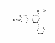 C=C/C=C\C(=C/C)c1cc(BO)cc(-c2ccccc2)c1